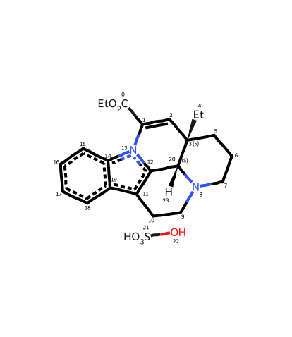 CCOC(=O)C1=C[C@]2(CC)CCCN3CCc4c(n1c1ccccc41)[C@@H]32.O=S(=O)(O)O